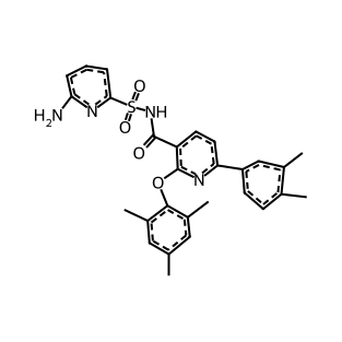 Cc1cc(C)c(Oc2nc(-c3ccc(C)c(C)c3)ccc2C(=O)NS(=O)(=O)c2cccc(N)n2)c(C)c1